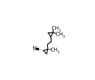 CC1(C)CC1CC[C@]1(C)C[C@@H]1C#N